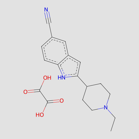 CCN1CCC(c2cc3cc(C#N)ccc3[nH]2)CC1.O=C(O)C(=O)O